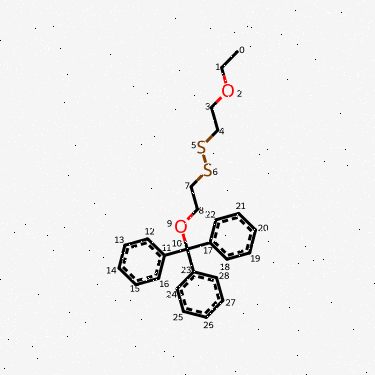 CCOCCSSCCOC(c1ccccc1)(c1ccccc1)c1ccccc1